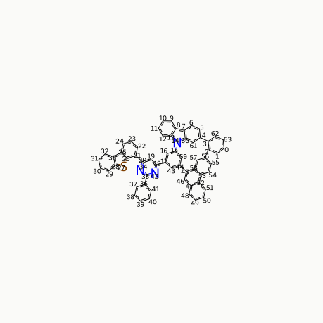 c1ccc(-c2ccc3c4ccccc4n(-c4cc(-c5cc(-c6cccc7c6sc6ccccc67)nc(-c6ccccc6)n5)cc(-c5cc6ccccc6c6ccccc56)c4)c3c2)cc1